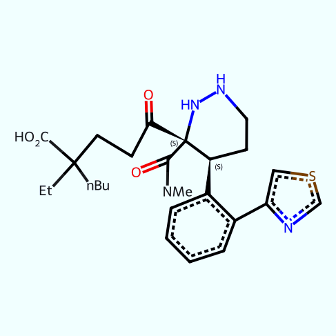 CCCCC(CC)(CCC(=O)[C@@]1(C(=O)NC)NNCC[C@H]1c1ccccc1-c1cscn1)C(=O)O